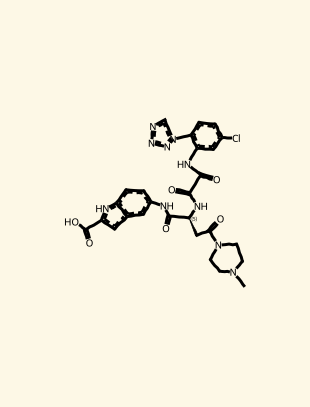 CN1CCN(C(=O)C[C@H](NC(=O)C(=O)Nc2cc(Cl)ccc2-n2cnnn2)C(=O)Nc2ccc3[nH]c(C(=O)O)cc3c2)CC1